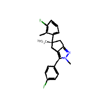 Cc1c(F)cccc1[C@]1(C(=O)O)Cc2nn(C)c(-c3ccc(F)cc3)c2C1